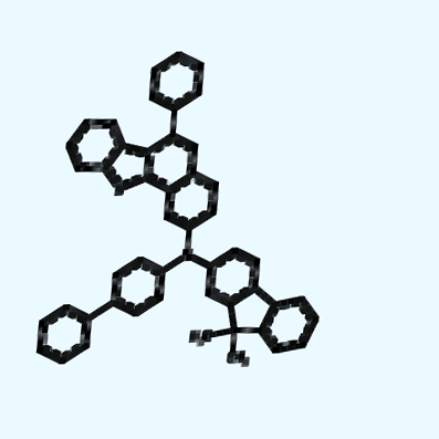 CC1(C)c2ccccc2-c2ccc(N(c3ccc(-c4ccccc4)cc3)c3ccc4cc(-c5ccccc5)c5c6ccccc6sc5c4c3)cc21